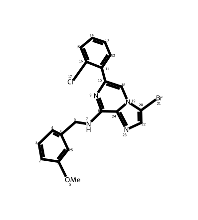 COc1cccc(CNc2nc(-c3ccccc3Cl)cn3c(Br)cnc23)c1